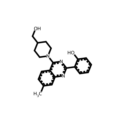 Cc1ccc2c(N3CCC(CO)CC3)nc(-c3ccccc3O)nc2c1